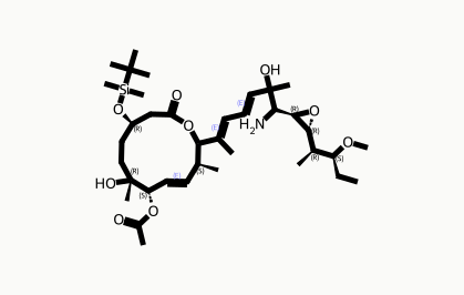 CC[C@H](OC)[C@@H](C)[C@H]1O[C@@H]1C(N)C(C)(O)/C=C/C=C(\C)C1OC(=O)C[C@H](O[Si](C)(C)C(C)(C)C)CC[C@@](C)(O)[C@@H](OC(C)=O)/C=C/[C@@H]1C